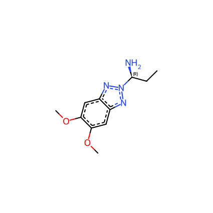 CC[C@H](N)n1nc2cc(OC)c(OC)cc2n1